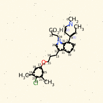 C=N/C=C\C(=C/C)c1cccc2c(CCCOc3cc(C)c(Cl)c(C)c3)cn(CCC(=O)O)c12